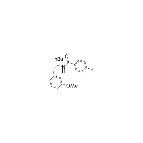 CCCC[C@@H](Cc1cccc(OC)c1)NC(=O)c1ccc(I)cc1